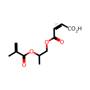 C=C(C)C(=O)OC(C)COC(=O)/C=C\C(=O)O